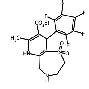 CCOC(=O)C1=C(C)NC2=C(C1c1c(F)c(F)c(F)c(F)c1F)S(=O)(=O)CCNC2